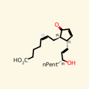 CCCCC[C@@H](O)C=C[C@H]1C=CC(=O)[C@@H]1C/C=C\CCCC(=O)O